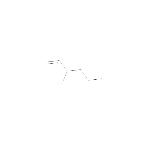 C=CC(N)CCC